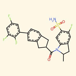 CC1Cc2cc(F)c(S(N)(=O)=O)cc2N1C(=O)C1Cc2ccc(-c3cc(F)cc(F)c3F)cc2C1